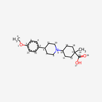 COc1ccc(C2CCN(C3CCC(C)(C(=O)O)CC3)CC2)cc1